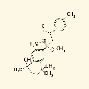 COC(CC(C=O)c1ccc(C)cc1)(OC)c1ccc2c(c1)C(C)(C)CCC2(C)C